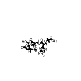 CC(C)(O/N=C(\C(=O)NC[C@@H]1C(=O)N2[C@@H]1S(=O)(=O)C[C@@H]1CC(=O)O[C@@]12C(=O)O)c1nsc(N)n1)C(=O)O